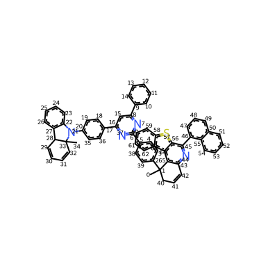 CC1(c2ccc(-c3nc(-c4ccccc4)cc(-c4ccc(N5c6ccccc6C6C=CC=CC65C)cc4)n3)cc2)CC=Cc2nc(-c3cccc4ccccc34)c3sc4ccccc4c3c21